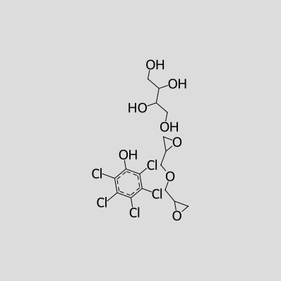 C(OCC1CO1)C1CO1.OCC(O)C(O)CO.Oc1c(Cl)c(Cl)c(Cl)c(Cl)c1Cl